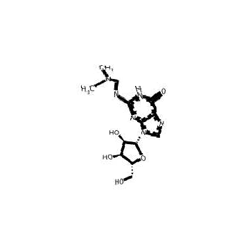 CN(C)/C=N/c1nc2c(ncn2[C@@H]2O[C@H](CO)[C@@H](O)[C@H]2O)c(=O)[nH]1